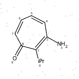 CC(C)c1c(N)ccccc1=O